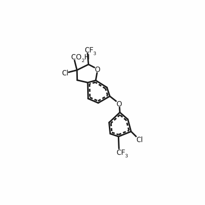 O=C(O)C1(Cl)Cc2ccc(Oc3ccc(C(F)(F)F)c(Cl)c3)cc2OC1C(F)(F)F